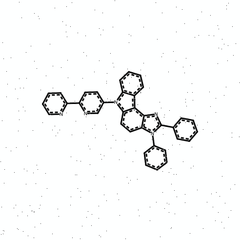 c1ccc(-c2nc3c4c5ccccc5n(-c5ccc(-c6ccccn6)nc5)c4ccc3n2-c2ccccc2)cc1